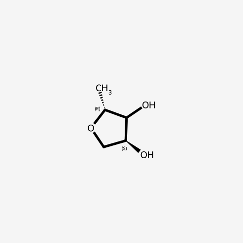 C[C@H]1OC[C@H](O)C1O